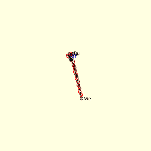 COCCOCCOCCOCCOCCOCCOCCOCCOCCOCCOCCOc1ccc(C[C@H](NC(=O)OC(C)(C)C)C(=O)OC)cc1